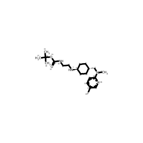 CN(C[C@H]1CC[C@H](NCCNC(=O)OC(C)(C)C)CC1)c1ccc(I)cn1